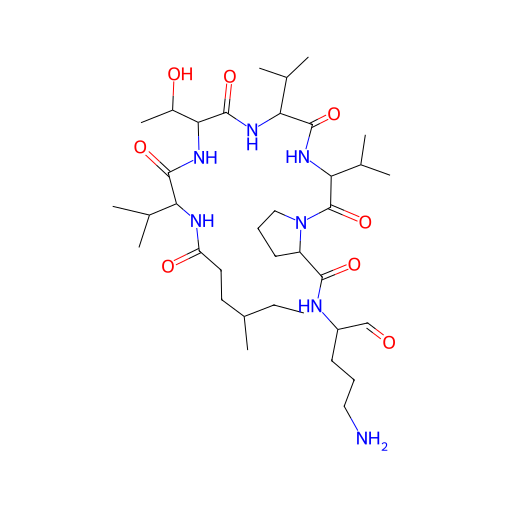 CCC(C)CCC(=O)NC(C(=O)NC(C(=O)NC(C(=O)NC(C(=O)N1CCCC1C(=O)NC(C=O)CCCN)C(C)C)C(C)C)C(C)O)C(C)C